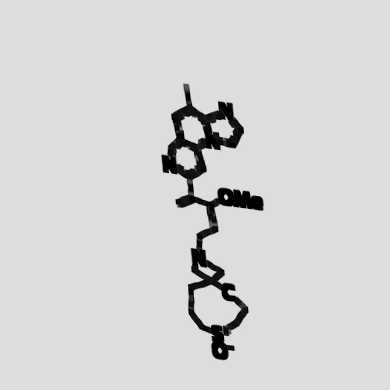 C=C(/C(=C\CN1CC2(CCC[S+]([O-])CCC2)C1)OC)c1cc2c(cn1)cc(C)c1nccn12